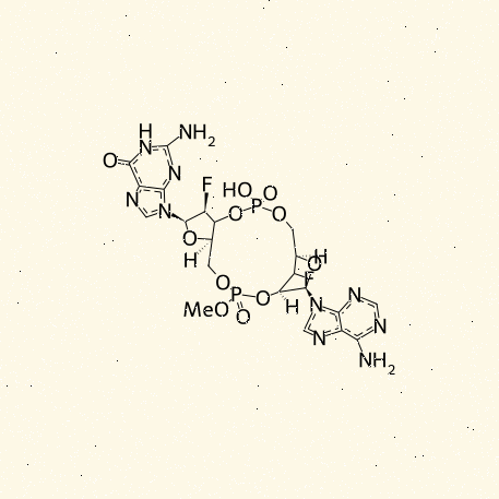 COP1(=O)OC[C@H]2O[C@@H](n3cnc4c(=O)[nH]c(N)nc43)[C@@H](F)C2OP(=O)(O)OC[C@H]2O[C@@H](n3cnc4c(N)ncnc43)[C@@H](O1)C2F